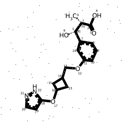 C[C@H](C(=O)O)[C@@H](O)c1cccc(OCC2CC(Oc3ccn[nH]3)C2)c1